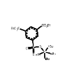 CCCCP(CCCC)(CCCC)(CCCC)OS(=O)(=O)c1cc(C(=O)OCC)cc(C(=O)OCC)c1